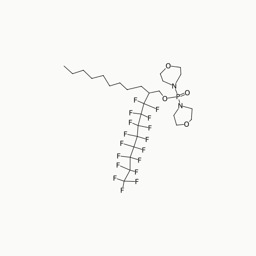 CCCCCCCCCC(COP(=O)(N1CCOCC1)N1CCOCC1)C(F)(F)C(F)(F)C(F)(F)C(F)(F)C(F)(F)C(F)(F)C(F)(F)C(F)(F)F